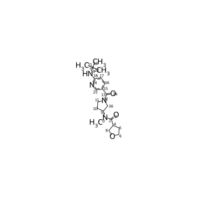 CN(C(=O)C1CCOC1)[C@H]1CCN(C(=O)c2ccc(NC(C)(C)C)nc2)C1